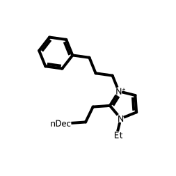 CCCCCCCCCCCCc1n(CC)cc[n+]1CCCc1ccccc1